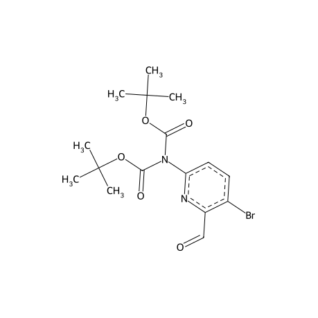 CC(C)(C)OC(=O)N(C(=O)OC(C)(C)C)c1ccc(Br)c(C=O)n1